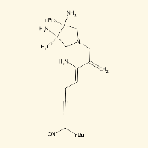 C=C(CN1C[C@@](N)(CCC)[C@](C)(N)C1)/C(N)=C/CC#CC(CCCC)N=O